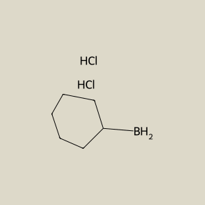 BC1CCCCC1.Cl.Cl